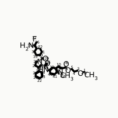 CCOCCCOC(=O)c1cc2cc(NC(=O)[C@@H]3[C@H](c4ccccc4)CCN3C(=O)[C@H]3CC[C@H]([C@H](N)CF)CC3)ccc2n1C